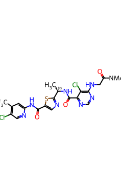 CNC(=O)CNc1ncnc(C(=O)N[C@H](C)c2ncc(C(=O)Nc3cc(C(F)(F)F)c(Cl)cn3)s2)c1Cl